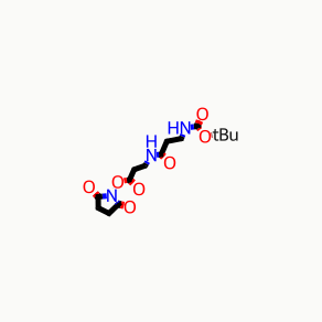 CC(C)(C)OC(=O)NCCC(=O)NCCC(=O)ON1C(=O)CCC1=O